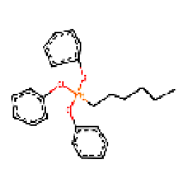 CCCCCC[PH](Oc1ccccc1)(Oc1ccccc1)Oc1ccccc1